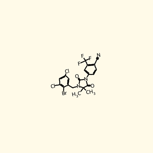 CC1(C)C(=O)N(c2ccc(C#N)c(C(F)(F)F)c2)C(=O)N1Cc1cc(Cl)cc(Cl)c1Br